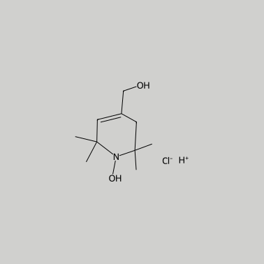 CC1(C)C=C(CO)CC(C)(C)N1O.[Cl-].[H+]